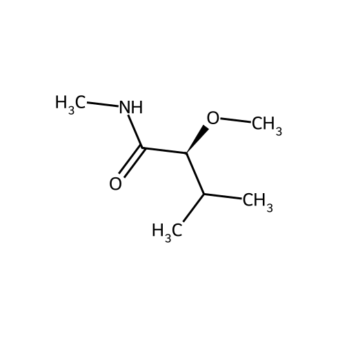 CNC(=O)[C@@H](OC)C(C)C